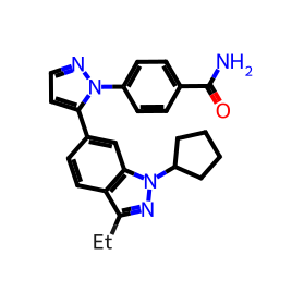 CCc1nn(C2CCCC2)c2cc(-c3ccnn3-c3ccc(C(N)=O)cc3)ccc12